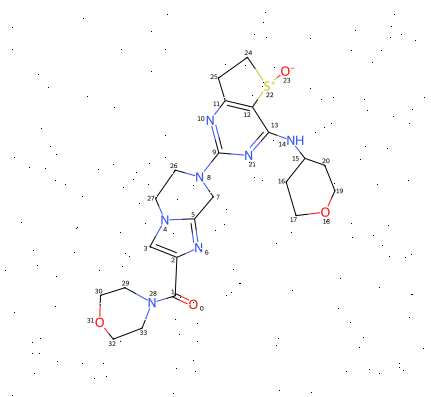 O=C(c1cn2c(n1)CN(c1nc3c(c(NC4CCOCC4)n1)[S+]([O-])CC3)CC2)N1CCOCC1